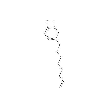 C=CCCCCCCc1ccc2c(c1)CC2